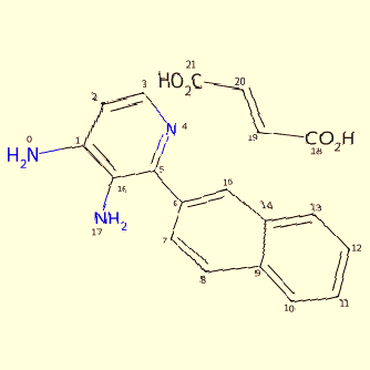 Nc1ccnc(-c2ccc3ccccc3c2)c1N.O=C(O)C=CC(=O)O